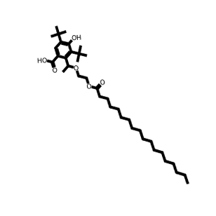 CCCCCCCCCCCCCCCCCC(=O)OCCOC(C)c1c(C(=O)O)cc(C(C)(C)C)c(O)c1C(C)(C)C